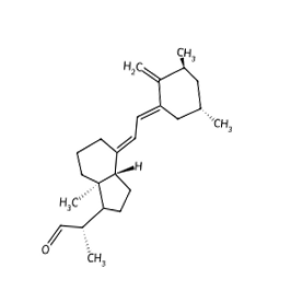 C=C1/C(=C/C=C2\CCC[C@]3(C)C([C@H](C)C=O)CC[C@@H]23)C[C@@H](C)C[C@@H]1C